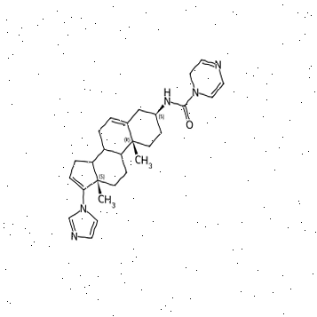 C[C@]12CC[C@H](NC(=O)N3C=CN=CC3)CC1=CCC1C2CC[C@]2(C)C(n3ccnc3)=CCC12